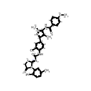 Cc1ccc(C(C)C)c(N2C(=O)CS/C2=N\C(=O)Nc2ccc(-c3nn(C)c(NC(=O)c4ccc(OC(F)(F)F)cc4)c3C)cc2Cl)c1